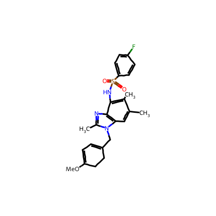 COC1=CC=C(Cn2c(C)nc3c(NS(=O)(=O)c4ccc(F)cc4)c(C)c(C)cc32)CC1